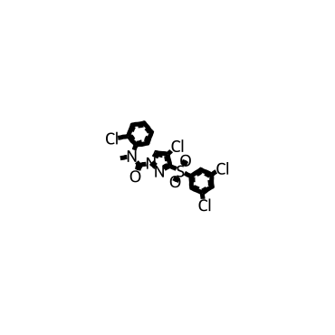 CN(C(=O)n1cc(Cl)c(S(=O)(=O)c2cc(Cl)cc(Cl)c2)n1)c1ccccc1Cl